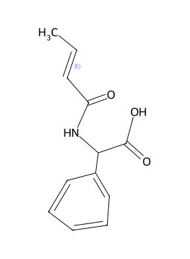 C/C=C/C(=O)NC(C(=O)O)c1ccccc1